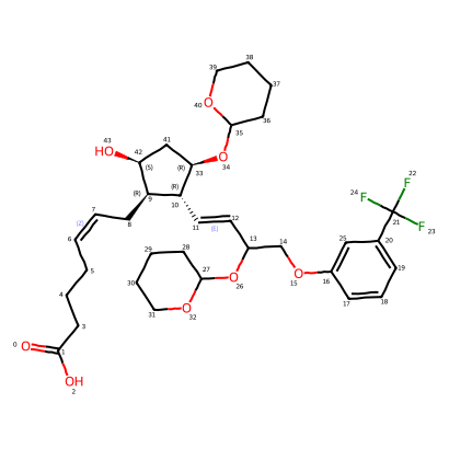 O=C(O)CCC/C=C\C[C@@H]1[C@@H](/C=C/C(COc2cccc(C(F)(F)F)c2)OC2CCCCO2)[C@H](OC2CCCCO2)C[C@@H]1O